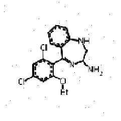 CCOc1cc(Cl)cc(Cl)c1C1=NC(N)CNc2ccccc21